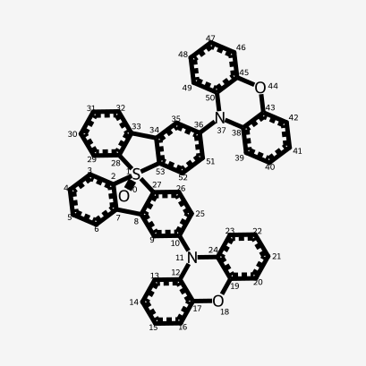 O=S12(c3ccccc3-c3cc(N4c5ccccc5Oc5ccccc54)ccc31)c1ccccc1-c1cc(N3c4ccccc4Oc4ccccc43)ccc12